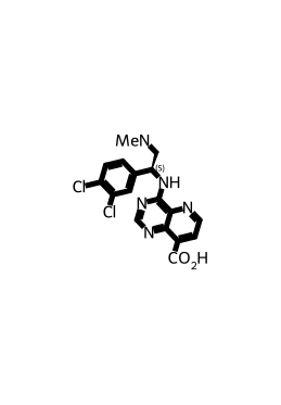 CNC[C@@H](Nc1ncnc2c(C(=O)O)ccnc12)c1ccc(Cl)c(Cl)c1